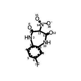 O=C1Nc2ccc(F)cc2NC(=O)C1[N+](=O)[O-]